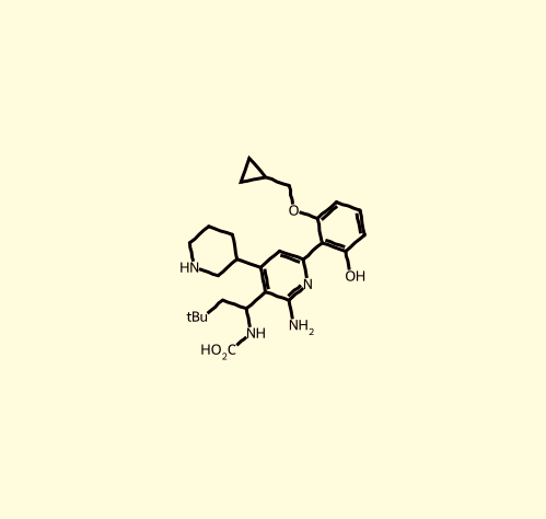 CC(C)(C)CC(NC(=O)O)c1c(C2CCCNC2)cc(-c2c(O)cccc2OCC2CC2)nc1N